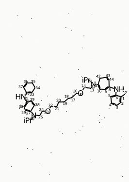 Cc1ccccc1NC1=CC=C(N(CCOCCCCCCCOCCN(c2ccc(NC3=CCCC=C3)cc2)C(C)C)C(C)C)CC=C1